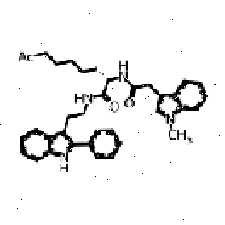 CC(=O)CCCCC[C@H](NC(=O)Cc1cn(C)c2ccccc12)C(=O)NCCc1c(-c2ccccc2)[nH]c2ccccc12